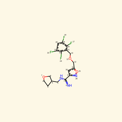 N=C(NCC1CCOC1)c1cc(COCc2c(F)c(F)cc(F)c2F)on1